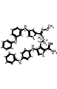 CSN=C(N)c1cc(Nc2cccc(Oc3ccccc3)c2)cs1.CSc1c(Nc2ccc(Oc3ccccc3)cc2)csc1C(=N)N